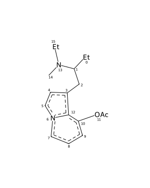 CCC(Cc1ccn2cccc(OC(C)=O)c12)N(C)CC